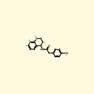 N#Cc1ccc(CC(=O)NC2CCOc3ncccc32)cc1